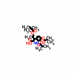 CCC(C)(C)C(=O)OCC(C)C(c1ccc(OC(=O)C(C)C)c(OC(=O)C(C)C)c1)[C@H](N)C(=O)O